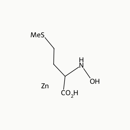 CSCCC(NO)C(=O)O.[Zn]